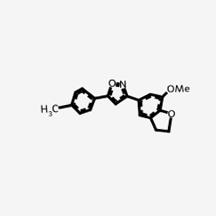 COc1cc(-c2cc(-c3ccc(C)cc3)on2)cc2c1OCC2